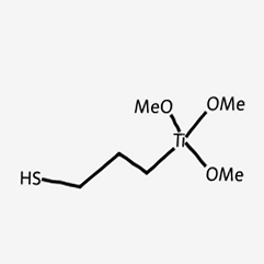 C[O][Ti]([CH2]CCS)([O]C)[O]C